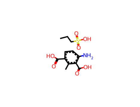 CCCS(=O)(=O)O.Cc1c(C(=O)O)ccc(N)c1C(=O)O